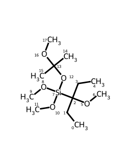 CCC(CC)(OC)[Si](OC)(OC)OC(C)(C)OC